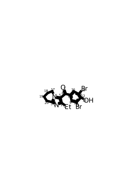 CCc1nc2n(c1C(=O)c1cc(Br)c(O)c(Br)c1)CCCC2